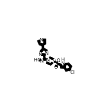 O=S(=O)(c1cc2cc(Cl)ccc2[nH]1)N1CCN(C(=NO)c2ncc(-c3ccncc3)cn2)CC1